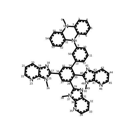 CN1c2ccccc2N(c2cccc(-c3cc(-c4nc5cccnc5n4C)cc(-c4nc5cccnc5n4C)c3-c3nc4cccnc4n3C)c2)c2ccccc21